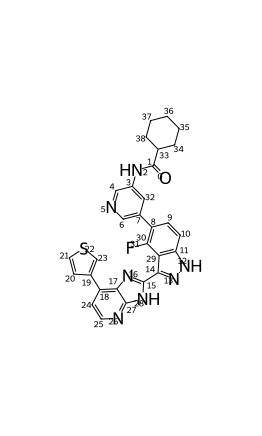 O=C(Nc1cncc(-c2ccc3[nH]nc(-c4nc5c(-c6ccsc6)ccnc5[nH]4)c3c2F)c1)C1CCCCC1